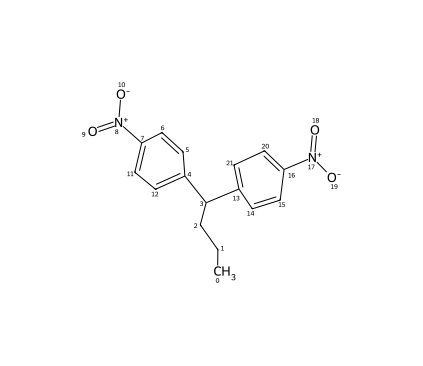 CCCC(c1ccc([N+](=O)[O-])cc1)c1ccc([N+](=O)[O-])cc1